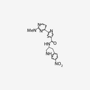 CNc1nccc(-c2ncc(C(=O)NC(CN)Cc3ccc([N+](=O)[O-])cc3)s2)n1